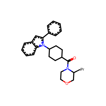 CC(C)C1COCCN1C(=O)C1CCC(n2c(-c3ccccc3)cc3ccccc32)CC1